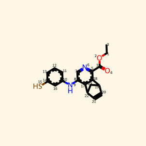 CCOC(=O)c1ncc(Nc2cccc(S)c2)c2c1C1C#CC2C1